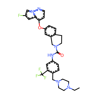 CCN1CCN(Cc2ccc(NC(=O)N3CCc4ccc(Oc5ccnn6cc(F)cc56)cc4C3)cc2C(F)(F)F)CC1